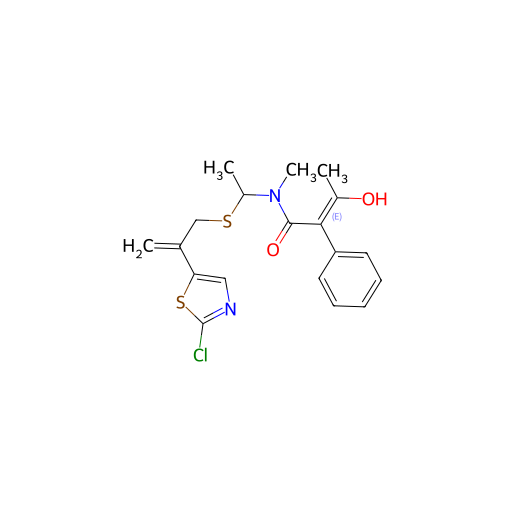 C=C(CSC(C)N(C)C(=O)/C(=C(\C)O)c1ccccc1)c1cnc(Cl)s1